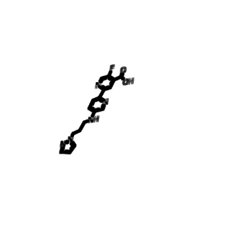 O=C(O)c1cc(-c2ccc(NCCCn3cccn3)cn2)ncc1F